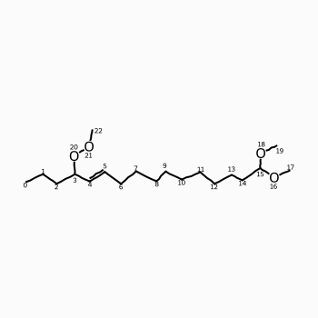 CCCC(C=CCCCCCCCCCC(OC)OC)OOC